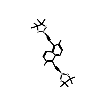 Cc1ccc2c(C#CB3OC(C)(C)C(C)(C)O3)c(C)ccc2c1C#CB1OC(C)(C)C(C)(C)O1